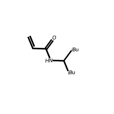 C=CC(=O)NC(C(C)CC)C(C)CC